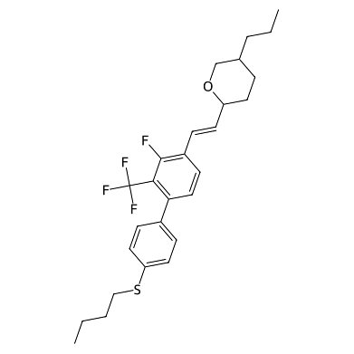 CCCCSc1ccc(-c2ccc(/C=C/C3CCC(CCC)CO3)c(F)c2C(F)(F)F)cc1